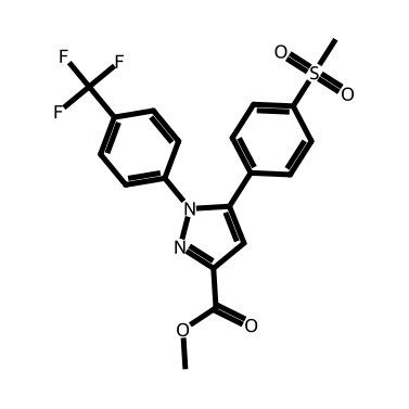 COC(=O)c1cc(-c2ccc(S(C)(=O)=O)cc2)n(-c2ccc(C(F)(F)F)cc2)n1